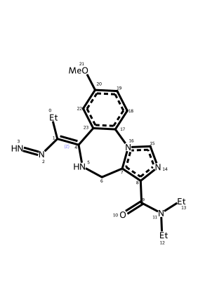 CC/C(N=N)=C1/NCc2c(C(=O)N(CC)CC)ncn2-c2ccc(OC)cc21